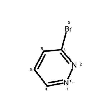 BrC1=N[N+]=CC=C1